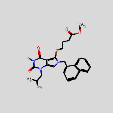 COC(=O)CCCSc1c2c(=O)n(C)c(=O)n(CC(C)C)c2cn1Cc1cccc2ccccc12